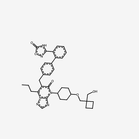 CCCc1c(Cc2ccc(-c3ccccc3-c3noc(=O)[nH]3)cc2)c(=O)n(C2CCC(OCC3(CO)CCC3)CC2)c2ncnn12